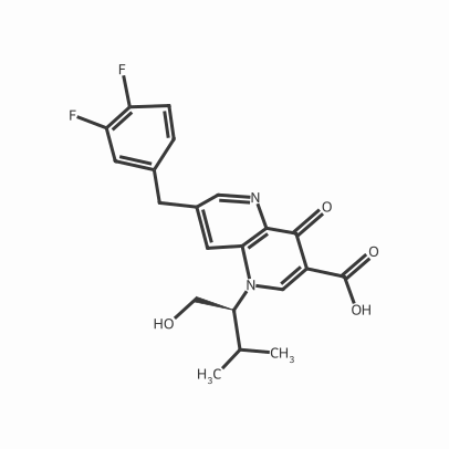 CC(C)[C@@H](CO)n1cc(C(=O)O)c(=O)c2ncc(Cc3ccc(F)c(F)c3)cc21